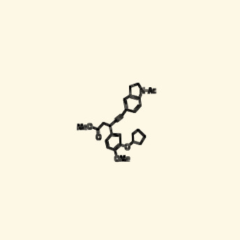 COC(=O)CC(C#Cc1ccc2c(c1)CCN2C(C)=O)c1ccc(OC)c(OC2CCCC2)c1